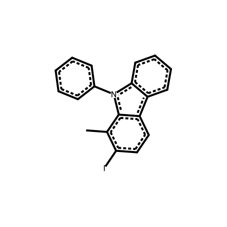 Cc1c(I)ccc2c3ccccc3n(-c3ccccc3)c12